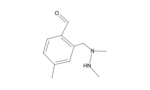 CNN(C)Cc1cc(C)ccc1C=O